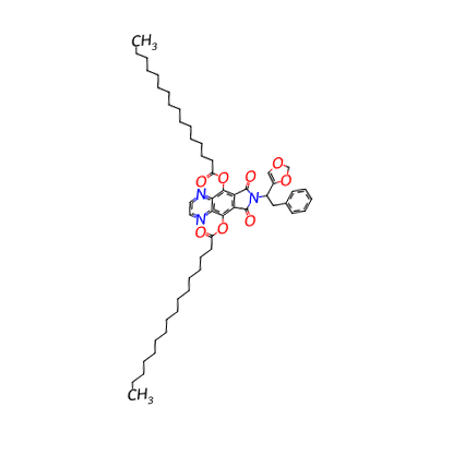 CCCCCCCCCCCCCCCC(=O)Oc1c2c(c(OC(=O)CCCCCCCCCCCCCCC)c3nccnc13)C(=O)N(C(Cc1ccccc1)C1=COCO1)C2=O